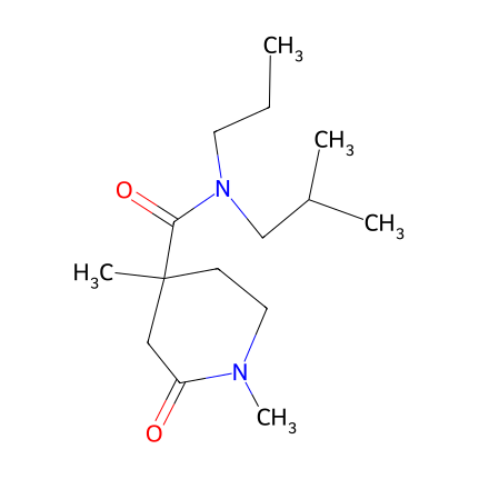 CCCN(CC(C)C)C(=O)C1(C)CCN(C)C(=O)C1